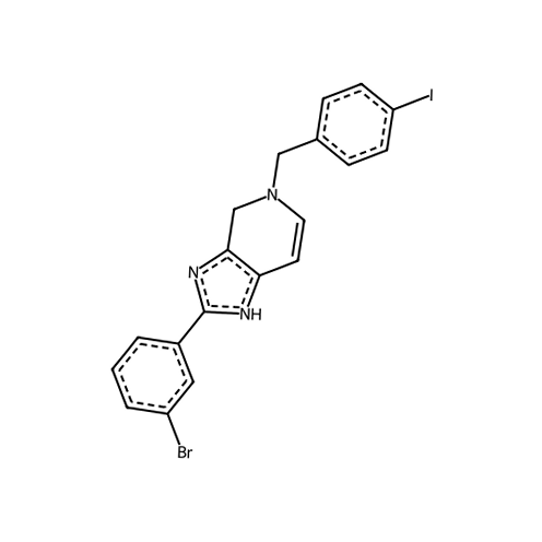 Brc1cccc(-c2nc3c([nH]2)C=CN(Cc2ccc(I)cc2)C3)c1